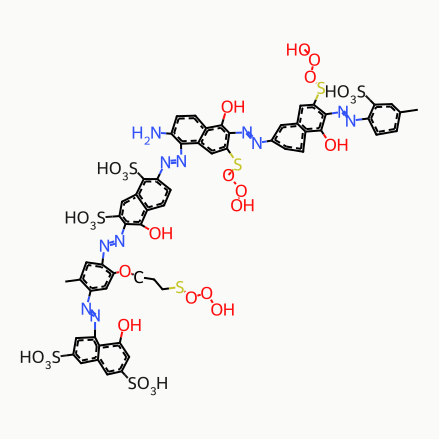 Cc1ccc(N=Nc2c(SOOO)cc3cc(N=Nc4c(SOOO)cc5c(N=Nc6ccc7c(O)c(N=Nc8cc(C)c(N=Nc9cc(S(=O)(=O)O)cc%10cc(S(=O)(=O)O)cc(O)c9%10)cc8OCCCSOOO)c(S(=O)(=O)O)cc7c6S(=O)(=O)O)c(N)ccc5c4O)ccc3c2O)c(S(=O)(=O)O)c1